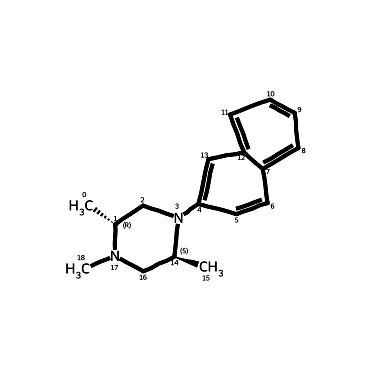 C[C@@H]1CN(c2ccc3ccccc3c2)[C@@H](C)CN1C